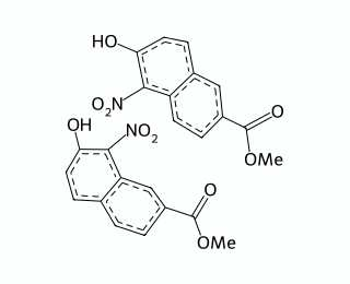 COC(=O)c1ccc2c([N+](=O)[O-])c(O)ccc2c1.COC(=O)c1ccc2ccc(O)c([N+](=O)[O-])c2c1